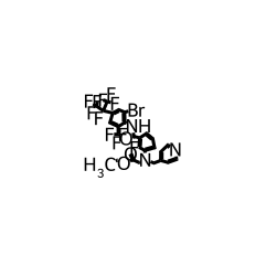 CCOC(=O)CN(Cc1ccncc1)c1cccc(C(=O)Nc2c(Br)cc(C(F)(C(F)(F)F)C(F)(F)F)cc2C(F)(F)F)c1F